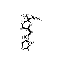 C1COCO1.COC1(C)OCC(CO)O1